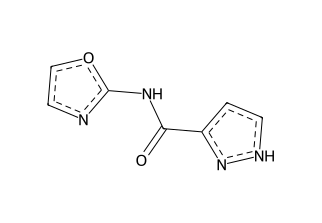 O=C(Nc1ncco1)c1cc[nH]n1